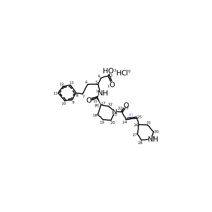 Cl.O=C(O)CC(CCc1ccccc1)NC(=O)[C@@H]1CCCN(C(=O)/C=C/C2CCNCC2)C1